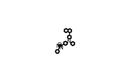 c1ccc(-c2noc(-c3ccc(N(c4ccccc4)c4ccc(-c5cccc6ccccc56)cc4)cc3)n2)cc1